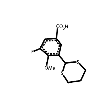 COc1c(F)cc(C(=O)O)cc1C1SCCCS1